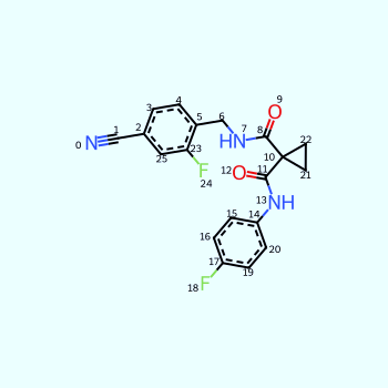 N#Cc1ccc(CNC(=O)C2(C(=O)Nc3ccc(F)cc3)CC2)c(F)c1